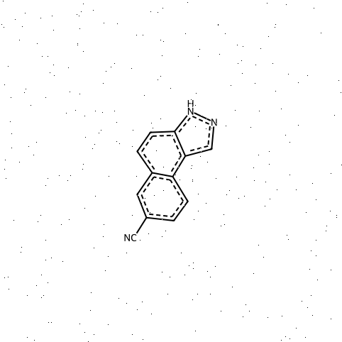 N#Cc1ccc2c(ccc3[nH]ncc32)c1